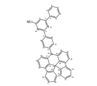 N#Cc1cc(-c2ccccc2)nc(-c2ccc(N3c4ccccc4C(c4ccccc4)(c4ccccc4)c4ccccc43)cc2)n1